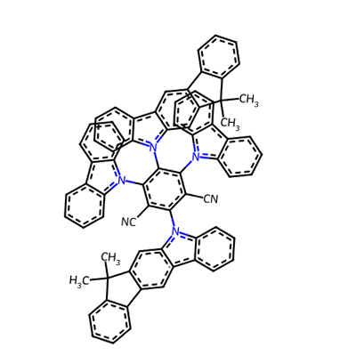 CC1(C)c2ccccc2-c2cc3c4ccccc4n(-c4c(C#N)c(-n5c6ccccc6c6ccccc65)c(-n5c6ccccc6c6cc7c(cc65)C(C)(C)c5ccccc5-7)c(-n5c6ccccc6c6ccccc65)c4C#N)c3cc21